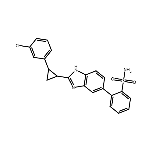 NS(=O)(=O)c1ccccc1-c1ccc2[nH]c(C3CC3c3cccc(Cl)c3)nc2c1